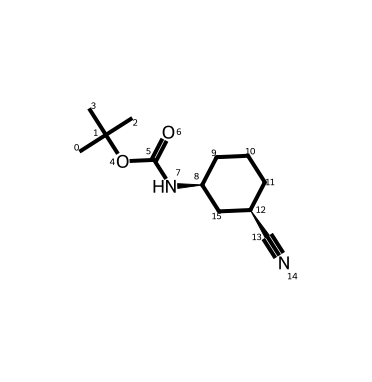 CC(C)(C)OC(=O)N[C@H]1CCC[C@@H](C#N)C1